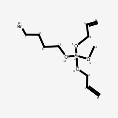 C=CCO[Si](OC)(OCC=C)OCCCCBr